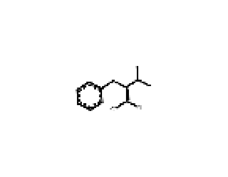 C[C](C)C(Cc1ccccc1)=C(Cl)Cl